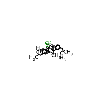 CC1=C2c3cc(CC(C)C)ccc3[CH]1[Zr+2][CH]1C(C)=C(c3cc(CC(C)C)ccc31)[SiH]2C.[Cl-].[Cl-]